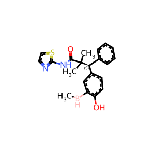 CBc1cc([C@H](c2ccccc2)C(C)(C)C(=O)Nc2nccs2)ccc1O